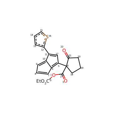 CCOC(=O)OC(=O)C1(C2=C3C=CC=C3C(c3cccs3)=C2)CCCC1=O